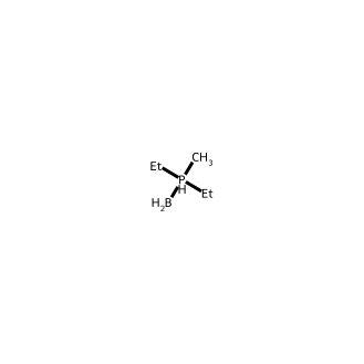 B[PH](C)(CC)CC